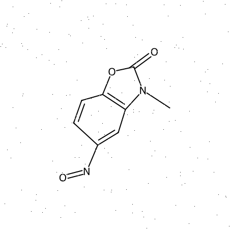 Cn1c(=O)oc2ccc(N=O)cc21